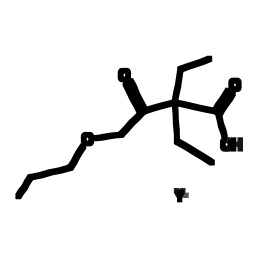 CCCOCC(=O)C(CC)(CC)C(=O)O.[Y]